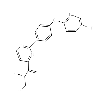 O=C(c1ccnc(-c2ccc(Oc3ccc(C(F)(F)F)cn3)cc2)n1)[C@H](O)CO